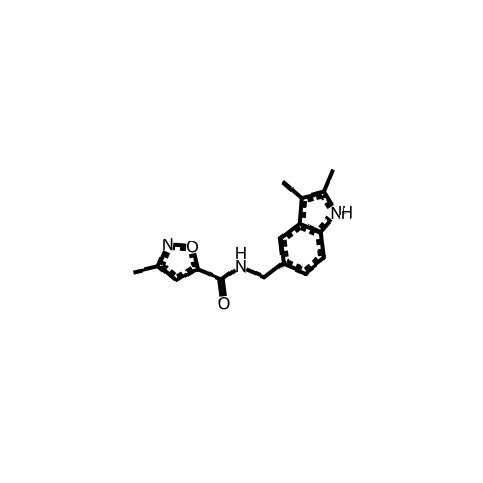 Cc1cc(C(=O)NCc2ccc3[nH]c(C)c(C)c3c2)on1